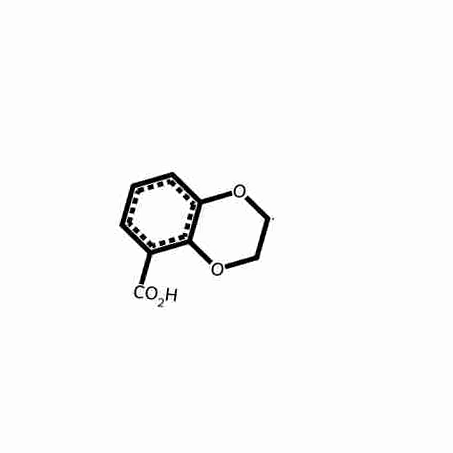 O=C(O)c1cccc2c1OC[CH]O2